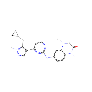 CC(C)N1c2cc(Nc3nccc(-c4cnn(C)c4CC4CC4)n3)ccc2N(C)C(=O)[C@H]1C